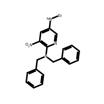 CCNc1cnc(N(Cc2ccccc2)Cc2ccccc2)c([N+](=O)[O-])c1